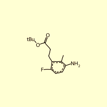 Cc1c(N)ccc(F)c1CCC(=O)OC(C)(C)C